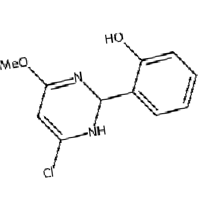 COC1=NC(c2ccccc2O)NC(Cl)=C1